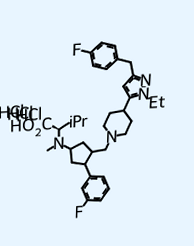 CCn1nc(Cc2ccc(F)cc2)cc1C1CCN(CC2CC(N(C)[C@@H](C(=O)O)C(C)C)CC2c2cccc(F)c2)CC1.Cl.Cl.Cl